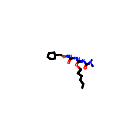 CCCCCCOC(=NC(=O)N(C)C)NC(=O)NSCC1CCCCC1